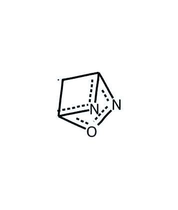 [CH]1c2noc1n2